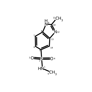 CNS(=O)(=O)c1ccc2[nH]c(C)nc2c1